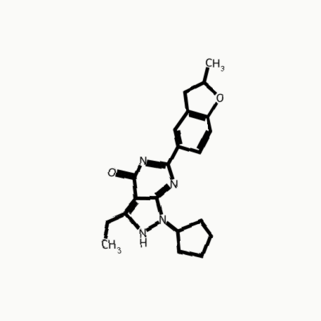 CCc1[nH]n(C2CCCC2)c2nc(-c3ccc4c(c3)CC(C)O4)nc(=O)c1-2